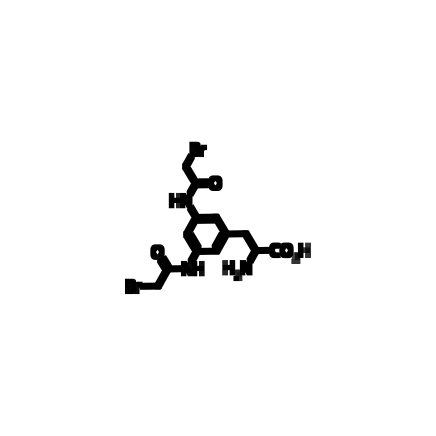 NC(Cc1cc(NC(=O)CBr)cc(NC(=O)CBr)c1)C(=O)O